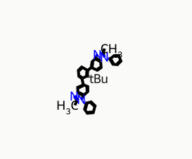 Cc1nc2cc(-c3cccc(-c4ccc5c(c4)nc(C)n5-c4ccccc4)c3C(C)(C)C)ccc2n1-c1ccccc1